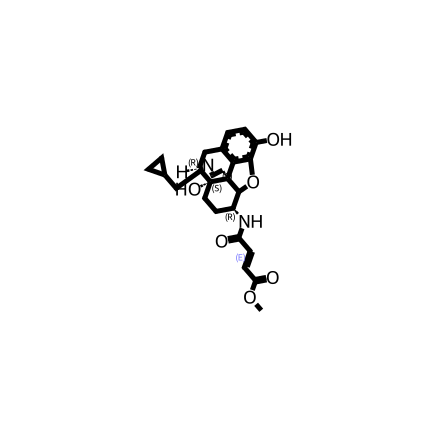 COC(=O)/C=C/C(=O)N[C@@H]1CC[C@@]2(O)[C@H]3Cc4ccc(O)c5c4[C@@]2(CCN3CC2CC2)C1O5